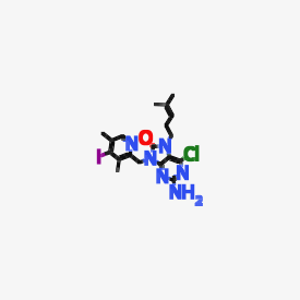 CC(C)=CCCn1c(=O)n(Cc2ncc(C)c(I)c2C)c2nc(N)nc(Cl)c21